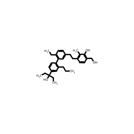 CCCc1cc(C(O)(CC)CC)ccc1-c1cc(CCc2ccc(CO)c(O)c2C)ccc1CC